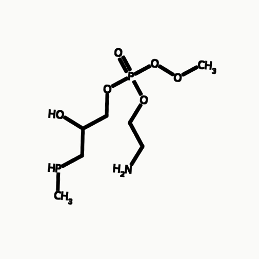 COOP(=O)(OCCN)OCC(O)CPC